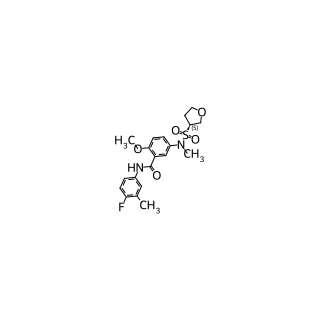 COc1ccc(N(C)S(=O)(=O)[C@H]2CCOC2)cc1C(=O)Nc1ccc(F)c(C)c1